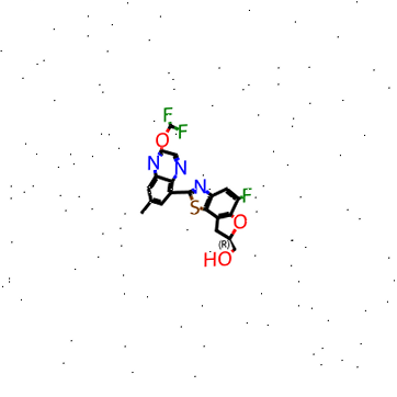 Cc1cc(-c2nc3cc(F)c4c(c3s2)C[C@H](CO)O4)c2ncc(OC(F)F)nc2c1